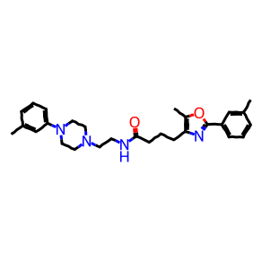 Cc1cccc(-c2nc(CCCC(=O)NCCN3CCN(c4cccc(C)c4)CC3)c(C)o2)c1